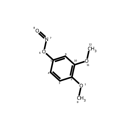 COc1ccc(ON=O)cc1OC